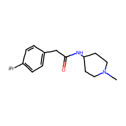 CC(C)c1ccc(CC(=O)NC2CCN(C)CC2)cc1